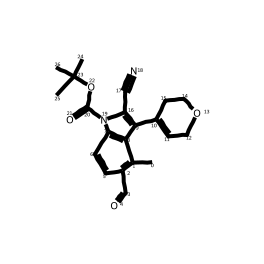 Cc1c(C=O)ccc2c1c(C1=CCOCC1)c(C#N)n2C(=O)OC(C)(C)C